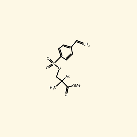 C=Cc1ccc(S(=O)(=O)OCC(C)(C(C)=O)C(=O)OC)cc1